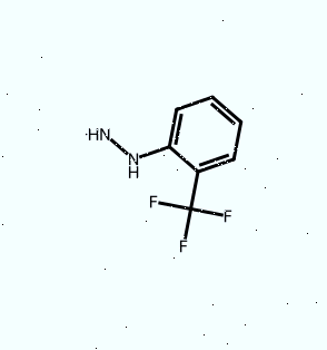 [NH]Nc1ccccc1C(F)(F)F